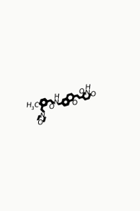 Cc1ccc(CC(=O)NCc2ccc3c(c2)CCC(CCC2CCC(=O)NC2=O)C3=O)cc1CCN1CCOCC1